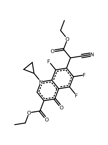 CCOC(=O)c1cn(C2CC2)c2c(F)c(C(C#N)C(=O)OCC)c(F)c(F)c2c1=O